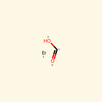 O=CO.[Er]